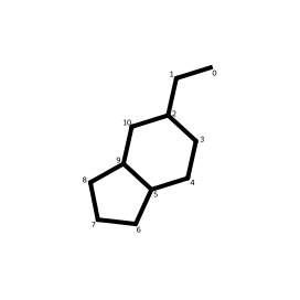 CCC1CCC2CCCC2C1